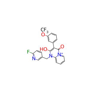 O=c1c(-c2cccc(OC(F)(F)F)c2)c(O)n(Cc2ccc(F)nc2)c2cccc[n+]12